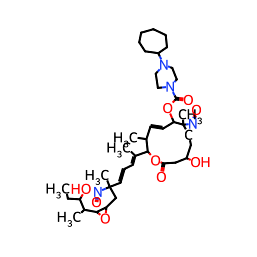 CCC(O)C(C)C1OC1CC(C)(/C=C/C=C(\C)C1OC(=O)CC(O)CCC(C)(N=O)C(OC(=O)N2CCN(C3CCCCCC3)CC2)/C=C/C1C)N=O